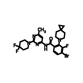 Cc1cc(NC(=O)c2ccc(Br)c(F)c2N2CCC3(CC2)CC3)nc(N2CCC(F)(F)CC2)n1